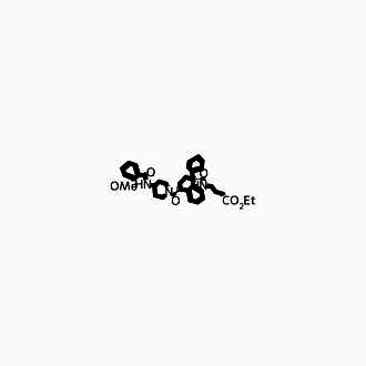 CCOC(=O)CCCNC(=O)[C@@]1(c2ccccc2)CC[C@H](C(=O)N2CCC(NC(=O)c3ccccc3OC)CC2)c2ccccc21